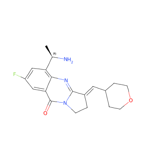 C[C@@H](N)c1cc(F)cc2c(=O)n3c(nc12)C(=CC1CCOCC1)CC3